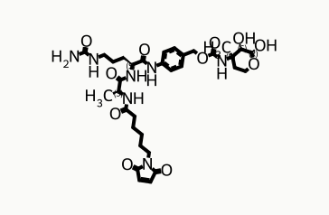 C[C@H](NC(=O)CCCCCN1C(=O)C=CC1=O)C(=O)N[C@@H](CCCNC(N)=O)C(=O)Nc1ccc(COC(=O)N[C@@]2(C)CCO[C@@H](O)[C@H]2O)cc1